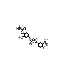 CNC(=O)Oc1ccc(/C=C/S(=O)(=O)CC(Cl)c2ccc(Cl)c([N+](=O)[O-])c2)cc1O